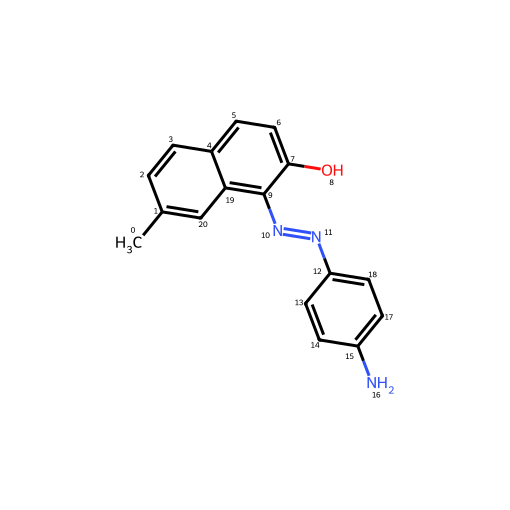 Cc1ccc2ccc(O)c(/N=N/c3ccc(N)cc3)c2c1